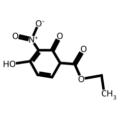 CCOC(=O)C1C=CC(O)=C([N+](=O)[O-])C1=O